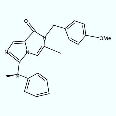 COc1ccc(Cn2c(C)cn3c([C@H](C)c4ccccc4)ncc3c2=O)cc1